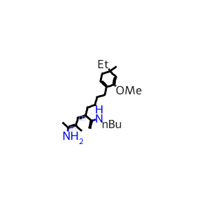 C=C(NCCCC)/C(=C\C(C)=C(/C)N)CCCCC1=CCC(C)(CC)C=C1OC